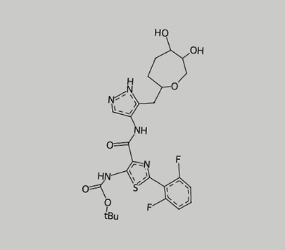 CC(C)(C)OC(=O)Nc1sc(-c2c(F)cccc2F)nc1C(=O)Nc1cn[nH]c1CC1CCC(O)C(O)CO1